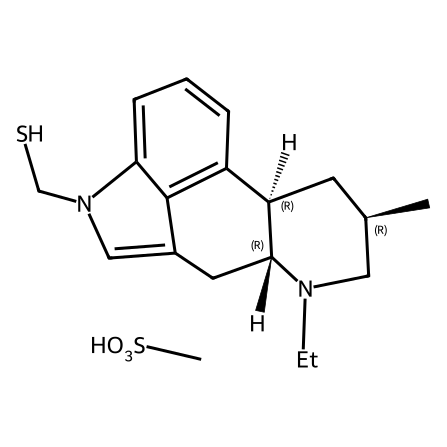 CCN1C[C@H](C)C[C@@H]2c3cccc4c3c(cn4CS)C[C@H]21.CS(=O)(=O)O